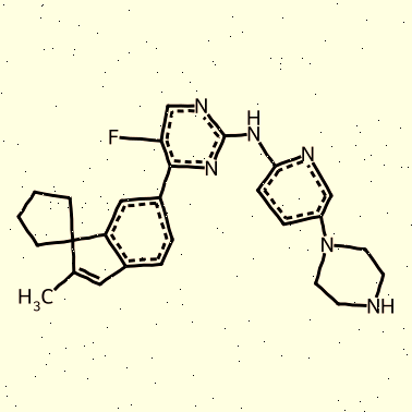 CC1=Cc2ccc(-c3nc(Nc4ccc(N5CCNCC5)cn4)ncc3F)cc2C12CCCC2